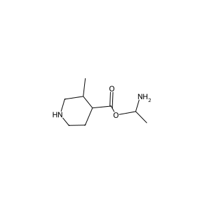 CC(N)OC(=O)C1CCNCC1C